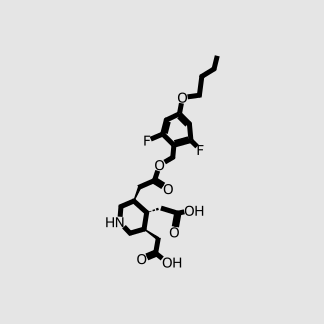 CCCCOc1cc(F)c(COC(=O)C[C@@H]2CNC[C@H](CC(=O)O)[C@H]2CC(=O)O)c(F)c1